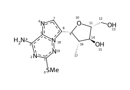 CSc1nc(N)c2ncc([C@@H]3O[C@H](CO)[C@@H](O)[C@@H]3C)n2n1